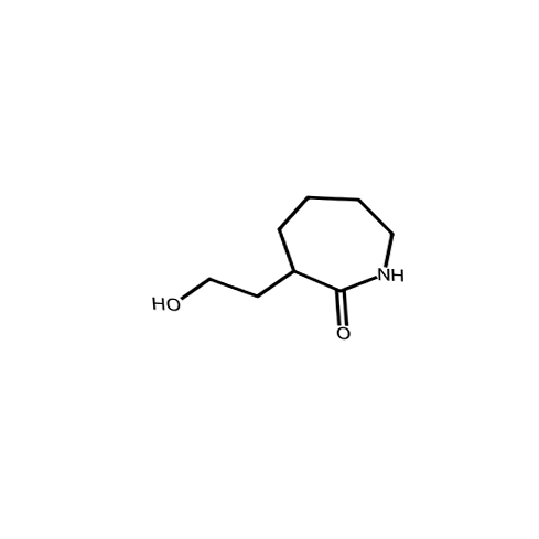 O=C1NCCCCC1CCO